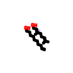 C=CCCCCCCCCO.CC(C)=CCC/C(C)=C/CO